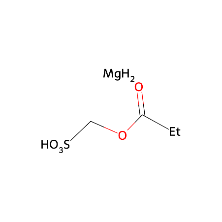 CCC(=O)OCS(=O)(=O)O.[MgH2]